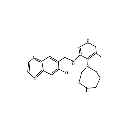 FC1=C(N2CCCNCC2)C(NCc2cc3nccnc3cc2Cl)=CNC1